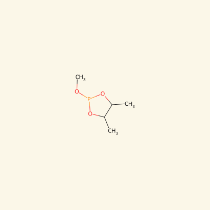 COP1OC(C)C(C)O1